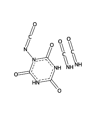 N=C=O.N=C=O.O=C=Nn1c(=O)[nH]c(=O)[nH]c1=O